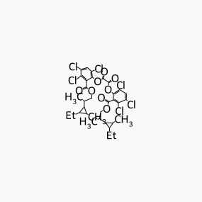 CCC1C(C)C1C(C)COC(=O)c1c(Cl)c(Cl)cc(Cl)c1OC(=O)C(=O)Oc1c(Cl)cc(Cl)c(Cl)c1C(=O)OCC(C)C1C(C)C1CC